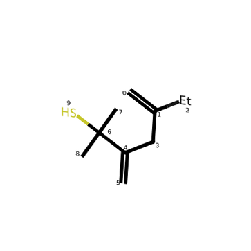 C=C(CC)CC(=C)C(C)(C)S